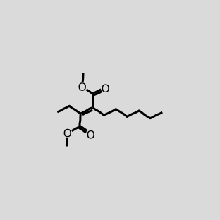 CCCCCCC(C(=O)OC)=C(CC)C(=O)OC